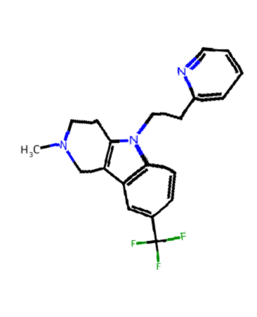 CN1CCc2c(c3cc(C(F)(F)F)ccc3n2CCc2ccccn2)C1